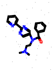 CN(C)CCN(C(=O)c1ccccc1)c1cnc(-c2ccccn2)nc1